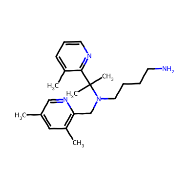 Cc1cnc(CN(CCCCN)C(C)(C)c2ncccc2C)c(C)c1